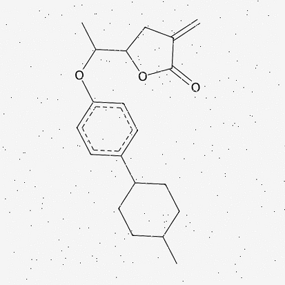 C=C1CC(C(C)Oc2ccc(C3CCC(C)CC3)cc2)OC1=O